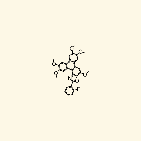 COc1cc2c3cc(OC)c(OC)cc3c3c(cc(OC)c4oc(-c5ccccc5F)nc43)c2cc1OC